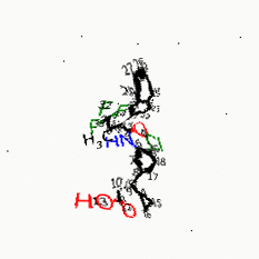 C[C@H]([C@@H](C(=O)Nc1cc([C@@H](CC(=O)O)C2CC2)ccc1Cl)c1ccc2ccccc2c1)C(F)(F)F